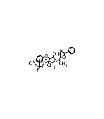 [C-]#[N+]c1ccc(OC2C(=O)N(C(C)c3nnc(-c4ccccc4)o3)CC2(C)C)cc1C(F)(F)F